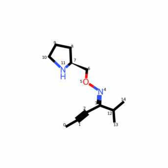 CC#C/C(=N\OC[C@@H]1CCCN1)C(C)C